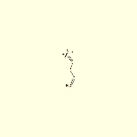 C.C=CCC=C